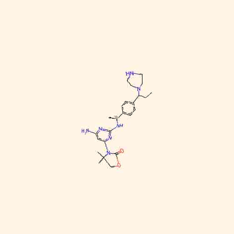 CCC(c1ccc([C@H](C)Nc2nc(N)cc(N3C(=O)OCC3(C)C)n2)cc1)N1CCNCC1